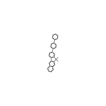 CC1(C)c2cc(-c3ccc(-c4ccccc4)cc3)ccc2-c2cc3ccccc3cc21